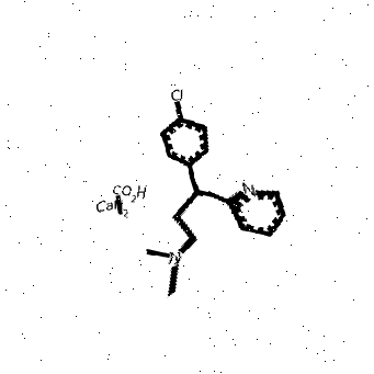 CC(=O)O.CN(C)CCC(c1ccc(Cl)cc1)c1ccccn1.[CaH2]